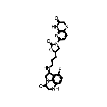 O=C1CSc2ccc(N3C[C@@H](CCCNC4CN5C(=O)CNc6ccc(F)c4c65)OC3=O)nc2N1